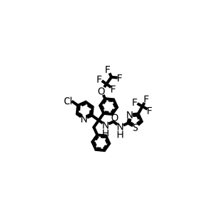 O=C(Nc1nc(C(F)(F)F)cs1)NC(Cc1ccccc1)(c1cccc(OC(F)(F)C(F)F)c1)c1ccc(Cl)cn1